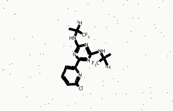 [2H]C(C)(Nc1nc(NC([2H])(C)C(F)(F)F)nc(-c2cccc(Cl)n2)n1)C(F)(F)F